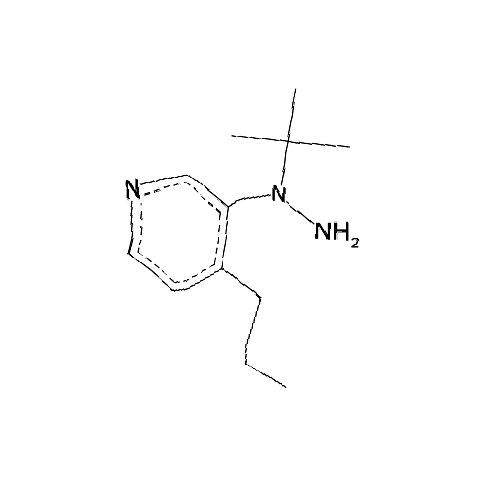 CCCc1ccncc1N(N)C(C)(C)C